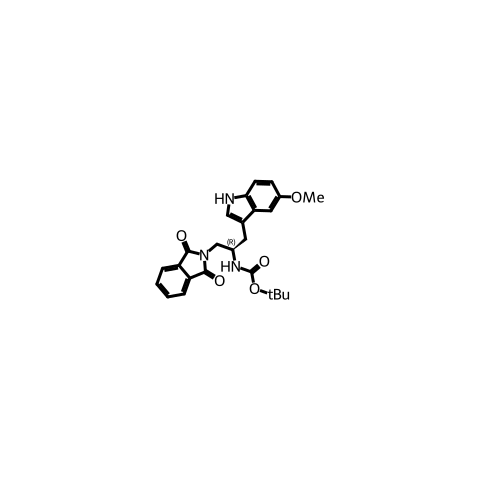 COc1ccc2[nH]cc(C[C@H](CN3C(=O)c4ccccc4C3=O)NC(=O)OC(C)(C)C)c2c1